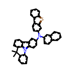 CC1(C)c2ccccc2-n2c3ccc(N(c4ccc5ccccc5c4)c4ccc5c(c4)sc4ccccc45)cc3c3cccc1c32